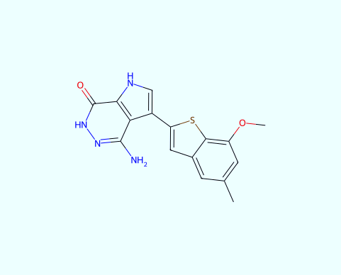 COc1cc(C)cc2cc(-c3c[nH]c4c(=O)[nH]nc(N)c34)sc12